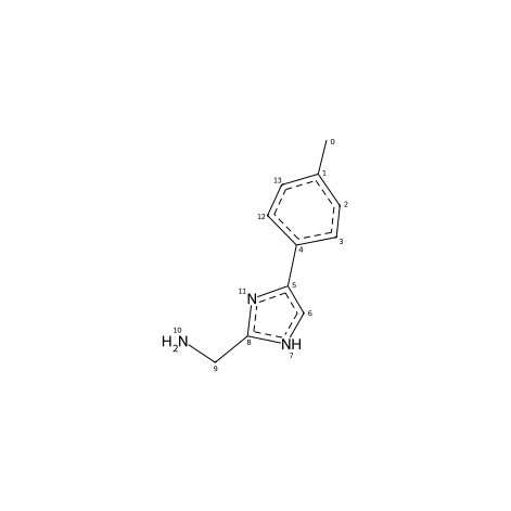 Cc1ccc(-c2c[nH]c(CN)n2)cc1